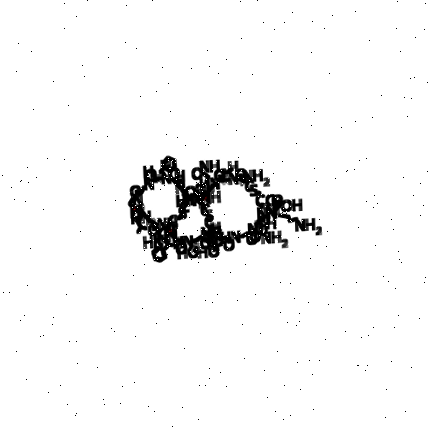 C=C1NC(=O)[C@H]2CSCC[C@@H](NC(=O)[C@H](CC(C)C)NC(=O)[C@@H]3CCCN3C(=O)CNC(=O)[C@H](Cc3ccccc3)NC1=O)C(=O)N[C@@H](Cc1c[nH]c3ccccc13)C(=O)N[C@@H](CO)C(=O)N[C@H]1CSC[C@@H](NC(=O)[C@H](CCC(N)=O)NC(=O)[C@H](C(C)C)NC(=O)[C@@H](N)CSCC[C@H](C(=O)N[C@@H](CCCCN)C(=O)O)NC(=O)[C@H](CC(N)=O)NC(=O)CNC(=O)[C@H](CC(=O)O)NC1=O)C(=O)N2